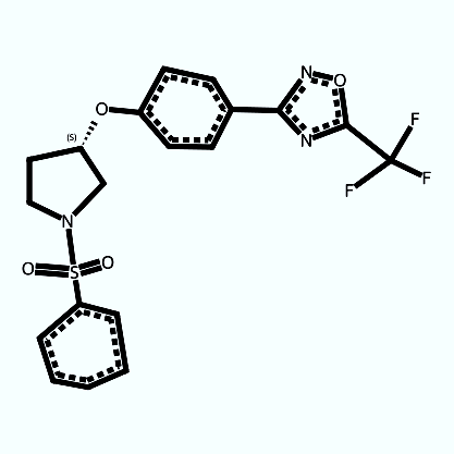 O=S(=O)(c1ccccc1)N1CC[C@H](Oc2ccc(-c3noc(C(F)(F)F)n3)cc2)C1